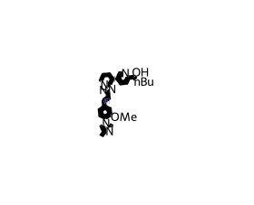 CCCCC(O)c1ccc([C@H]2CCCn3nc(/C=C/c4ccc(-n5cnc(C)c5)c(OC)c4)nc32)cn1